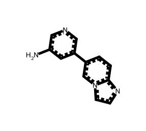 Nc1cncc(-c2ccc3nccn3c2)c1